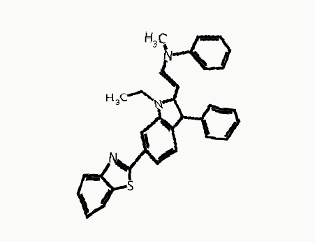 CCN1c2cc(-c3nc4ccccc4s3)ccc2C(c2ccccc2)C1/C=C/N(C)c1ccccc1